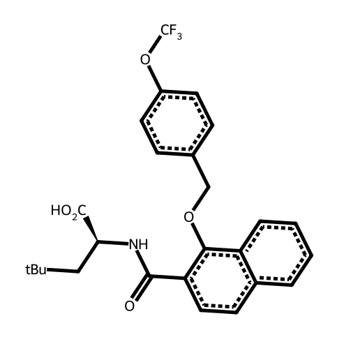 CC(C)(C)C[C@H](NC(=O)c1ccc2ccccc2c1OCc1ccc(OC(F)(F)F)cc1)C(=O)O